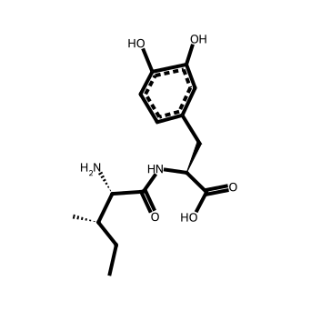 CC[C@H](C)[C@H](N)C(=O)N[C@@H](Cc1ccc(O)c(O)c1)C(=O)O